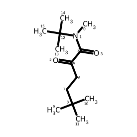 CN(C(=O)C(=O)CCC(C)(C)C)C(C)(C)C